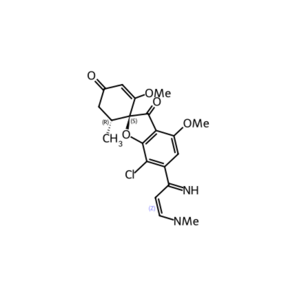 CN/C=C\C(=N)c1cc(OC)c2c(c1Cl)O[C@]1(C2=O)C(OC)=CC(=O)C[C@H]1C